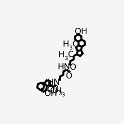 CC(CCC(=O)NC(C=O)CCCCNCC(C)C1CCC2C3CCC(CC3)CC(C)(O)C12)C1CCC2C1CC1C2CCC2CC(O)CCC21C